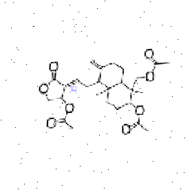 C=C1CCC2C(C)(COC(C)=O)C(OC(C)=O)CCC2(C)C1C/C=C1/C(=O)OCC1OC(C)=O